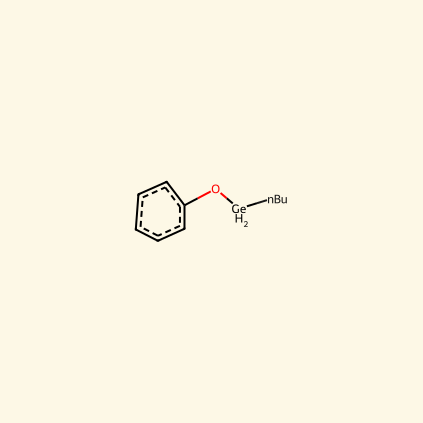 CCC[CH2][GeH2][O]c1ccccc1